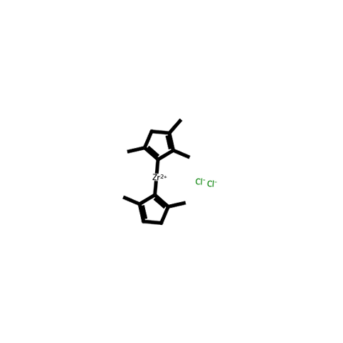 CC1=CCC(C)=[C]1[Zr+2][C]1=C(C)CC(C)=C1C.[Cl-].[Cl-]